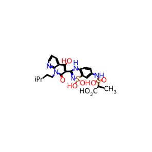 CC(C)CCn1c(=O)c(C2=NS(O)(O)c3cc(NS(=O)(=O)C(C)C(=O)O)ccc3N2)c(O)c2cccnc21